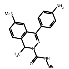 CCCCNC(=O)N1N=C(c2ccc(N)cc2)c2cc(SC)ccc2C1C